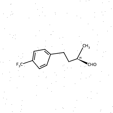 C[C@@H](C=O)CCc1ccc(C(F)(F)F)cc1